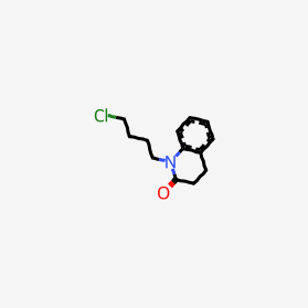 O=C1CCc2ccccc2N1CCCCCl